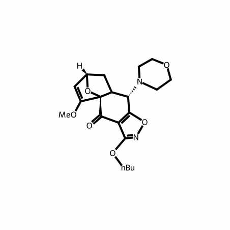 CCCCOc1noc2c1C(=O)[C@]13O[C@H](C=C1OC)CC3[C@@H]2N1CCOCC1